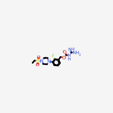 CCS(=O)(=O)N1CCN(c2cccc(COC(=O)NC(=N)N)c2F)CC1